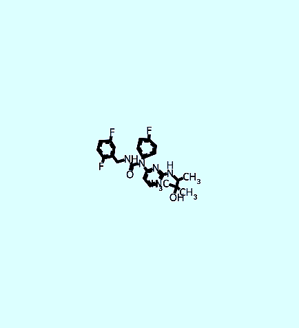 CC(Nc1nccc(N(C(=O)NCc2cc(F)ccc2F)c2ccc(F)cc2)n1)C(C)(C)O